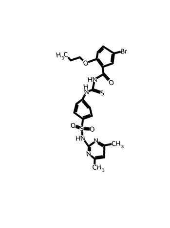 CCCOc1ccc(Br)cc1C(=O)NC(=S)Nc1ccc(S(=O)(=O)Nc2nc(C)cc(C)n2)cc1